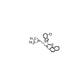 CCN(CC)CCCCN(Cc1ccc2ccccc2c1)C(=C1CC1)c1cc2c(Cl)cccc2s1